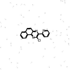 Clc1nc2c(ccc3ccccc32)nc1-c1ccccn1